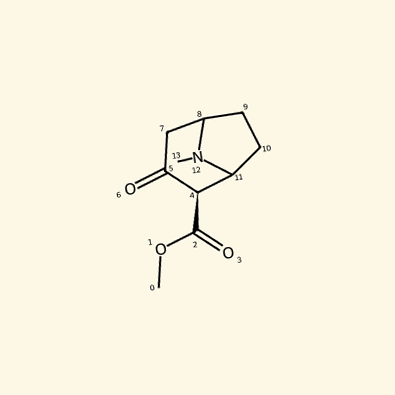 COC(=O)[C@H]1C(=O)CC2CCC1N2C